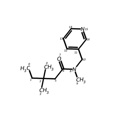 CCC(C)(C)CC(=O)N(C)Cc1cccnc1